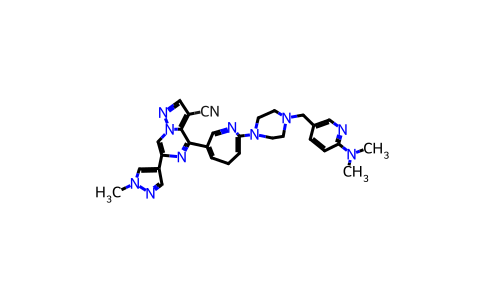 CN(C)c1ccc(CN2CCN(C3=CCC=C(c4nc(-c5cnn(C)c5)cn5ncc(C#N)c45)C=N3)CC2)cn1